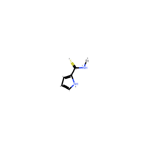 CCNC(=S)c1ccc[nH]1